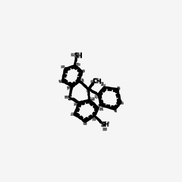 CC1(c2ccccc2)c2cc(S)ccc2Sc2ccc(S)cc21